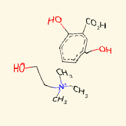 C[N+](C)(C)CCO.O=C(O)c1c(O)cccc1O